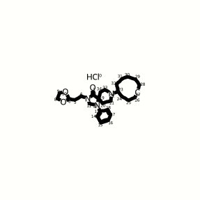 Cl.O=C1N(CCC2OCCO2)CN(c2ccccc2)C12CCN(C1CCCCCCCCC1)CC2